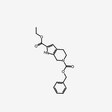 CCOC(=O)c1cc2c([nH]1)CN(C(=O)OCc1ccccc1)CC2